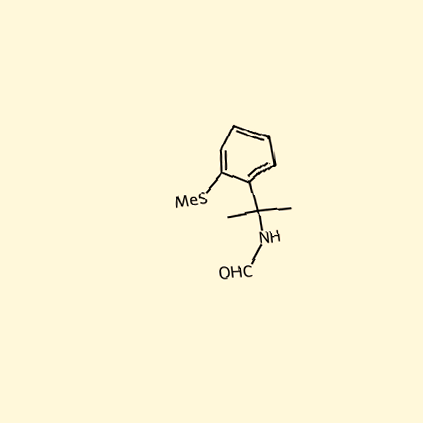 CSc1ccccc1C(C)(C)NC=O